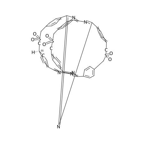 O=S1(=O)Cc2ccc(cc2)-c2nc3nc(n2)-c2ccc(cc2)CS(=O)(=O)Cc2ccc(cc2)-c2nc(nc(n2)-c2ccc(cc2)CS(=O)(=O)C[C@@H]2C=CC3=CC2)-c2ccc(cc2)C1